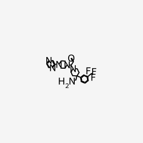 NCC1(c2cccc(C(F)(F)F)c2)CCN(C(C=O)N2CCN(c3cnccn3)CC2)CC1